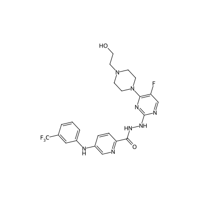 O=C(NNc1ncc(F)c(N2CCN(CCO)CC2)n1)c1ccc(Nc2cccc(C(F)(F)F)c2)cn1